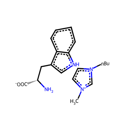 CCCCn1cc[n+](C)c1.N[C@@H](Cc1c[nH]c2ccccc12)C(=O)[O-]